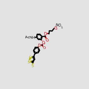 CC(=O)Nc1ccc(C(=O)OCCCCO[N+](=O)[O-])c(OC(=O)Oc2ccc(-c3cc(=S)ss3)cc2)c1